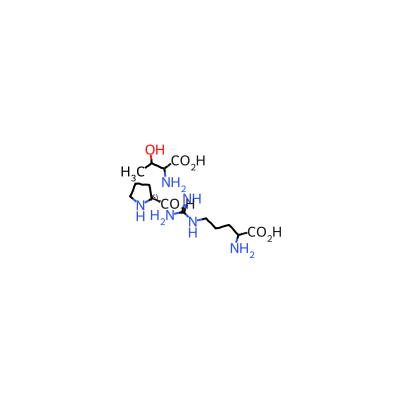 CC(O)C(N)C(=O)O.N=C(N)NCCCC(N)C(=O)O.O=C(O)[C@@H]1CCCN1